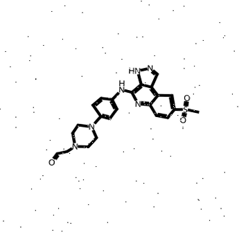 CS(=O)(=O)c1ccc2nc(Nc3ccc(N4CCN(CC=O)CC4)cc3)c3[nH]ncc3c2c1